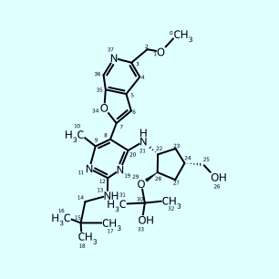 COCc1cc2cc(-c3c(C)nc(NCC(C)(C)C)nc3N[C@@H]3C[C@H](CO)C[C@H]3OC(C)(C)O)oc2cn1